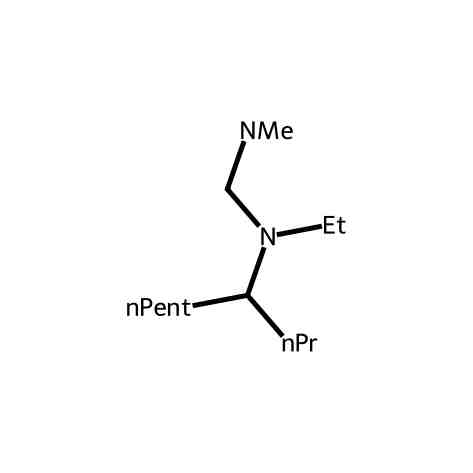 CCCCCC(CCC)N(CC)CNC